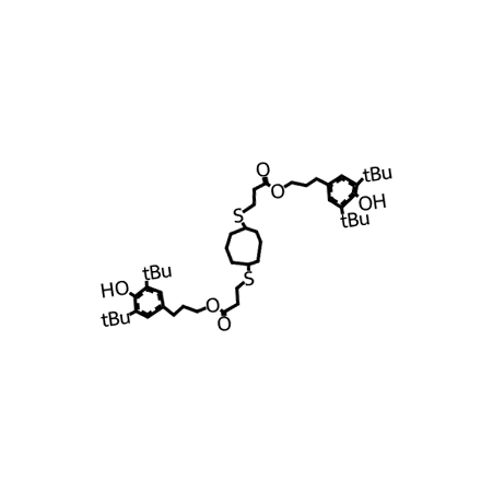 CC(C)(C)c1cc(CCCOC(=O)CCSC2CCCC(SCCC(=O)OCCCc3cc(C(C)(C)C)c(O)c(C(C)(C)C)c3)CCC2)cc(C(C)(C)C)c1O